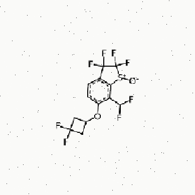 [O-][S+]1c2c(ccc(OC3CC(F)(F)C3)c2C(F)F)C(F)(F)C1(F)F